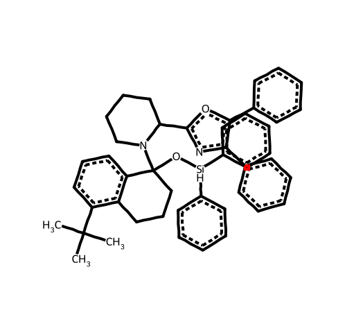 CC(C)(C)c1cccc2c1CCCC2(O[SiH](c1ccccc1)c1ccccc1)N1CCCCC1c1nc(-c2ccccc2)c(-c2ccccc2)o1